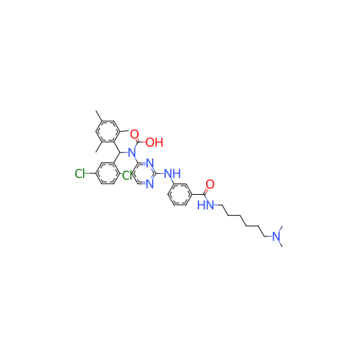 Cc1cc(C)c(C(c2cc(Cl)ccc2Cl)N(C(=O)O)c2ccnc(Nc3cccc(C(=O)NCCCCCCN(C)C)c3)n2)c(C)c1